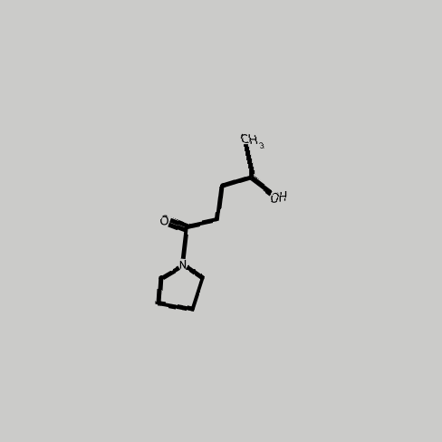 CC(O)CCC(=O)N1CCCC1